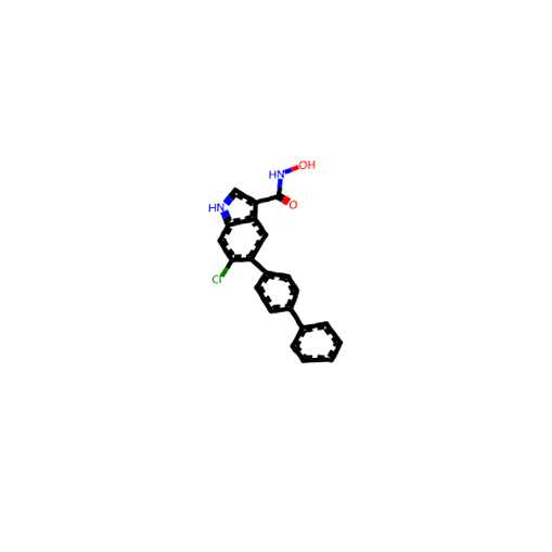 O=C(NO)c1c[nH]c2cc(Cl)c(-c3ccc(-c4ccccc4)cc3)cc12